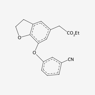 CCOC(=O)Cc1cc2c(c(Oc3cccc(C#N)c3)c1)OCC2